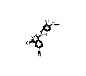 CCOc1ccc(CNc2nnc(Cl)c3cc(C#N)ccc23)cc1Cl